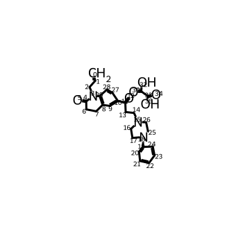 C=CCN1C(=O)CCc2cc(C(=O)CCN3CCN(c4ccccc4)CC3)ccc21.O=C(O)C(=O)O